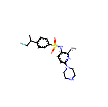 COc1nc(N2CCNCC2)ccc1NS(=O)(=O)c1ccc(C(C)CF)cc1